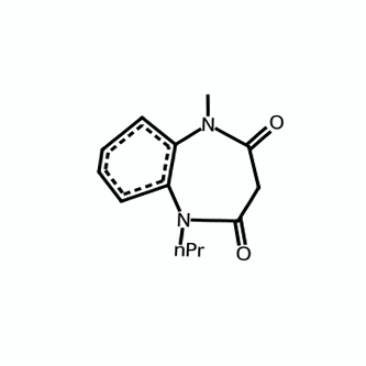 CCCN1C(=O)CC(=O)N(C)c2ccccc21